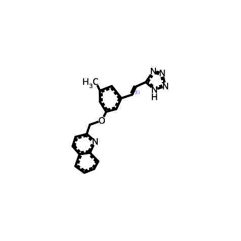 Cc1cc(/C=C/c2nnn[nH]2)cc(OCc2ccc3ccccc3n2)c1